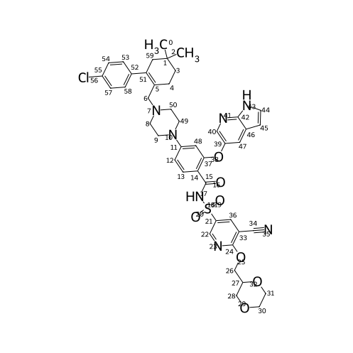 CC1(C)CCC(CN2CCN(c3ccc(C(=O)NS(=O)(=O)c4cnc(OCC5COCCO5)c(C#N)c4)c(Oc4cnc5[nH]ccc5c4)c3)CC2)=C(c2ccc(Cl)cc2)C1